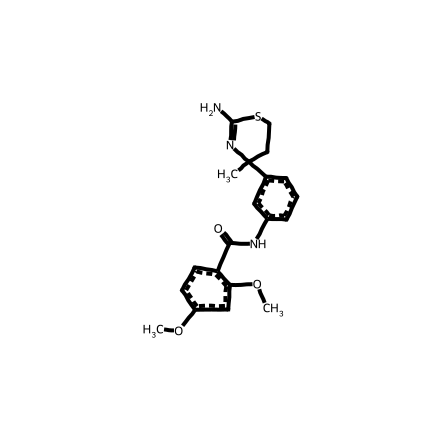 COc1ccc(C(=O)Nc2cccc(C3(C)CCSC(N)=N3)c2)c(OC)c1